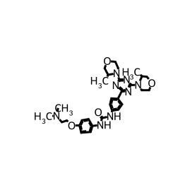 CC1COCCN1c1nc(-c2ccc(NC(=O)Nc3ccc(OCCN(C)C)cc3)cc2)nc(N2CCOCC2C)n1